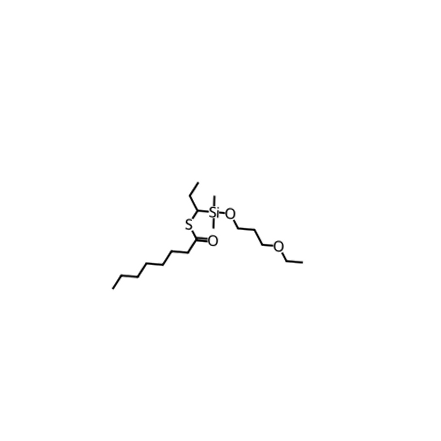 CCCCCCCC(=O)SC(CC)[Si](C)(C)OCCCOCC